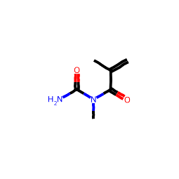 C=C(C)C(=O)N(C)C(N)=O